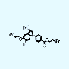 CC(C)CCOC(=O)c1ccc(-n2cc(C#N)c3cc(OCCC(C)C)c(F)cc32)cc1